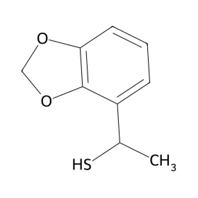 CC(S)c1cccc2c1OCO2